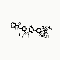 COc1cc(-c2cncc(N[C@@H](C)c3cccc(NC(=O)c4cccnc4)c3)n2)ccc1N(S(C)(=O)=O)S(C)(=O)=O